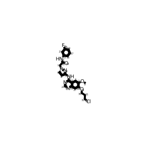 COc1cc2c(Nc3ccn(CC(=O)Nc4cccc(F)c4)n3)ncnc2cc1OCCCCl